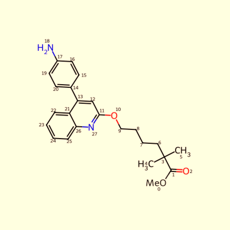 COC(=O)C(C)(C)CCCCOc1cc(-c2ccc(N)cc2)c2ccccc2n1